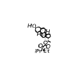 CCN(C(=O)C(=O)OC(C)[C@H]1CC[C@H]2[C@@H]3CC=C4C[C@@H](O)CC[C@]4(C)[C@H]3CC[C@]12C)C(C)C